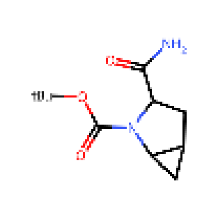 CC(C)(C)OC(=O)N1C(C(N)=O)CC2CC21